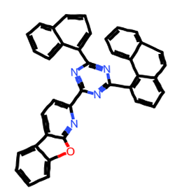 c1ccc2c(-c3nc(-c4ccc5c(n4)oc4ccccc45)nc(-c4cccc5ccc6ccccc6c45)n3)cccc2c1